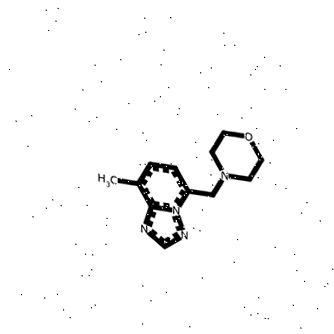 Cc1ccc(CN2CCOCC2)n2ncnc12